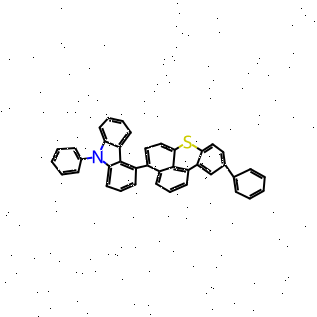 c1ccc(-c2ccc3c(c2)-c2cccc4c(-c5cccc6c5c5ccccc5n6-c5ccccc5)ccc(c24)S3)cc1